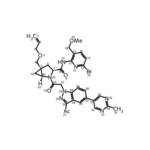 C=CCOC[C@@]12C[C@@H](C(=O)Nc3nc(Br)ccc3COC)N(C(=O)Cn3nc(C(C)=O)c4cc(-c5cnc(C)nc5)ccc43)[C@@H]1C2